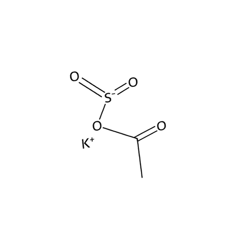 CC(=O)O[S-](=O)=O.[K+]